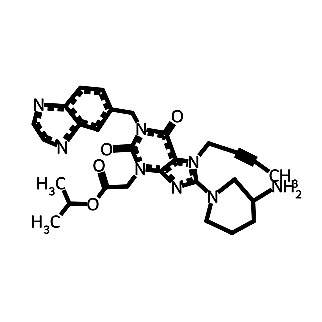 CC#CCn1c(N2CCCC(N)C2)nc2c1c(=O)n(Cc1ccc3nccnc3c1)c(=O)n2CC(=O)OC(C)C